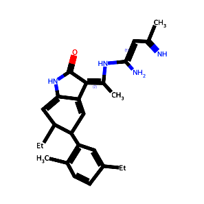 CCc1ccc(C)c(C2C=C3C(=CC2CC)NC(=O)/C3=C(/C)N/C(N)=C/C(C)=N)c1